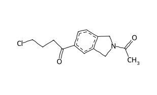 CC(=O)N1Cc2ccc(C(=O)CCCCl)cc2C1